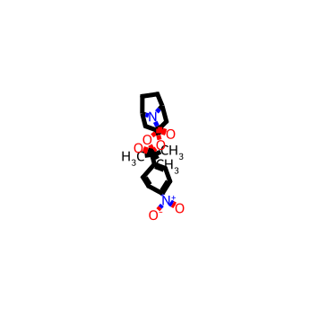 CC(C)(C)OC(=O)N1C2CCC1CC(OC(=O)c1ccc([N+](=O)[O-])cc1)C2